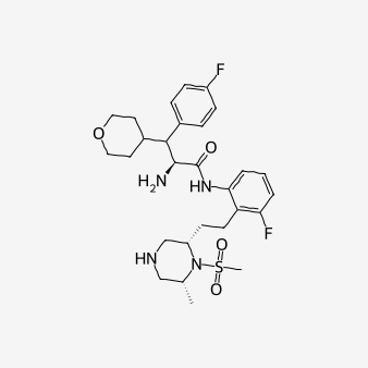 C[C@@H]1CNC[C@H](CCc2c(F)cccc2NC(=O)[C@@H](N)C(c2ccc(F)cc2)C2CCOCC2)N1S(C)(=O)=O